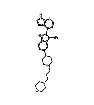 CC(C)c1c(-c2ccnc3[nH]ncc23)[nH]c2ccc(C3CCN(CCCN4CCOCC4)CC3)cc12